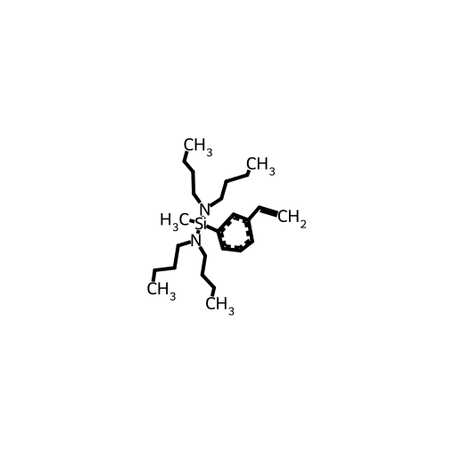 C=Cc1cccc([Si](C)(N(CCCC)CCCC)N(CCCC)CCCC)c1